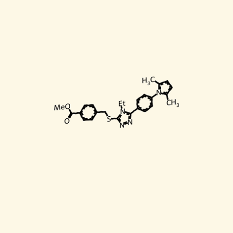 CCn1c(SCc2ccc(C(=O)OC)cc2)nnc1-c1ccc(-n2c(C)ccc2C)cc1